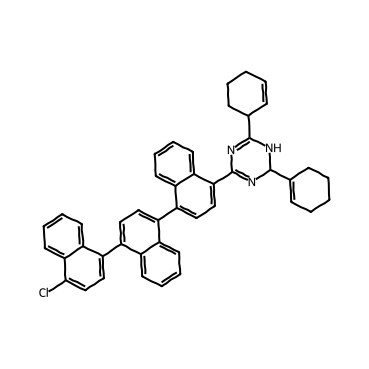 Clc1ccc(-c2ccc(-c3ccc(C4=NC(C5=CCCCC5)NC(C5C=CCCC5)=N4)c4ccccc34)c3ccccc23)c2ccccc12